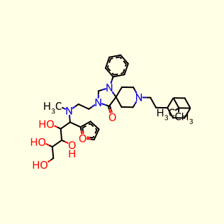 CN(CCN1CN(c2ccccc2)C2(CCN(CCC3CCC4CC3C4(C)C)CC2)C1=O)C(c1ccco1)C(O)C(O)C(O)CO